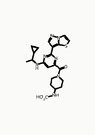 CC(Nc1cc(C(=O)N2CCC(NC(=O)O)CC2)nc(-c2cnn3ccsc23)n1)C1CC1